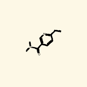 CCc1ccc(C(=O)N(C)C)cn1